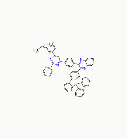 C=C/C(=C\C=C/C)c1cc(-c2ccc(-c3nc4ccccc4nc3-c3ccc4c(c3)C(c3ccccc3)(c3ccccc3)c3ccccc3-4)cc2)nc(-c2ccccc2)n1